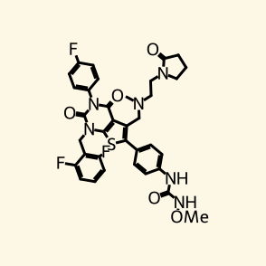 CONC(=O)Nc1ccc(-c2sc3c(c2CN(C)CCN2CCCC2=O)c(=O)n(-c2ccc(F)cc2)c(=O)n3Cc2c(F)cccc2F)cc1